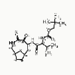 CC(C)C(NC(=O)OCC(C)(C)C)C(=O)NC1CC2CCC(CNC(=O)C1=O)C2